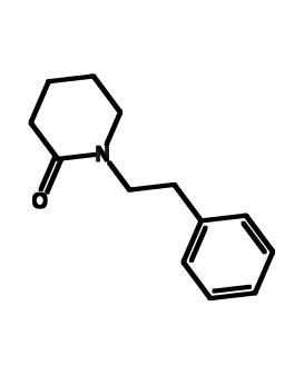 O=C1CCCCN1CCc1ccccc1